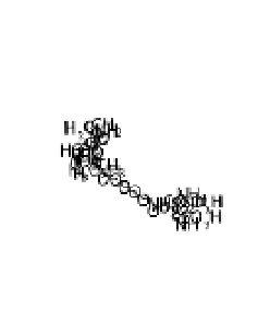 C=C1NC(=O)N([C@H]2C[C@@H](OCSSC(C)(C)CNC(=O)CCOCCOCCOCCOCCNC(=O)c3ccc(-c4c5ccc(=N)c(S(=O)(=O)O)c-5oc5c(S(=O)(=O)O)c(N)ccc45)c(C(=O)O)c3)[C@@H](COP(=O)(O)O[PH](=O)O)O2)C=C1C